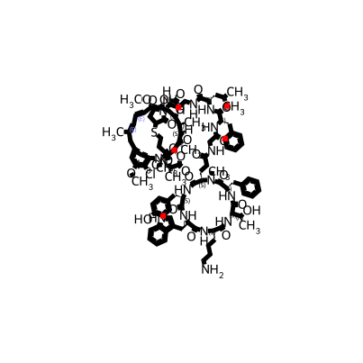 COc1cc2cc(c1Cl)N(C)C(=O)[C@H](OC(=O)[C@H](C)N(C)C(=O)CCSC1CC(=O)N(CCCNC(=O)[C@H](CC(C)C)NC(=O)[C@H](Cc3ccccc3)NC(=O)CNC(=O)CC[C@H]3C(=O)N[C@@H](Cc4ccc(O)cc4)C(=O)N[C@H](Cc4c[nH]c5ccccc45)C(=O)N[C@@H](CCCCN)C(=O)N[C@@H]([C@@H](C)O)C(=O)N[C@@H](Cc4ccccc4)C(=O)N3C)C1=O)[C@]1(C)O[C@H]1[C@H](C)[C@@H]1C[C@@](O)(NC(=O)O1)[C@H](OC)/C=C/C=C(\C)C2